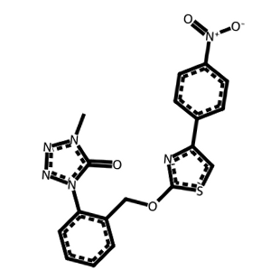 Cn1nnn(-c2ccccc2COc2nc(-c3ccc([N+](=O)[O-])cc3)cs2)c1=O